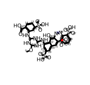 COC1NC(Nc2cc(S(=O)(=O)O)ccc2C(=O)O)NC(Nc2cc(S(=O)(=O)O)cc3cc(S(=O)(=O)O)c(/N=N\c4ccccc4S(=O)(=O)O)c(O)c23)N1